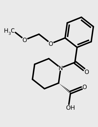 COCOc1ccccc1C(=O)N1CCCC[C@H]1C(=O)O